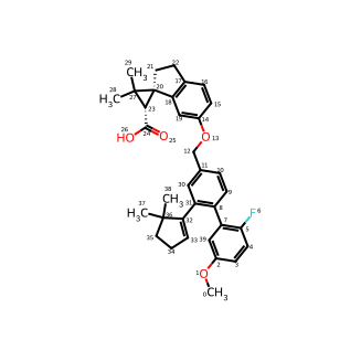 COc1ccc(F)c(-c2ccc(COc3ccc4c(c3)[C@@]3(CC4)[C@H](C(=O)O)C3(C)C)cc2C2=CCCC2(C)C)c1